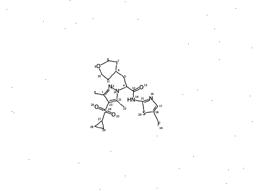 Cc1nn(C(CC2CCOCC2)C(=O)Nc2ncc(F)s2)c(C)c1S(=O)(=O)C1CC1